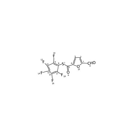 O=Cc1ccc(C(=O)Sc2c(F)c(F)c(F)c(F)c2F)o1